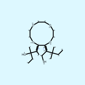 CCC(C)(O)/C(C)=C1\OCCOCCOCCO\C1=C(\CS)C(C)(C)CC